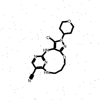 N#Cc1cnc2nc1NCCCOc1nn(C3CCOCC3)c(Cl)c1N2